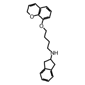 C1=Cc2cccc(OCCCCNC3Cc4ccccc4C3)c2OC1